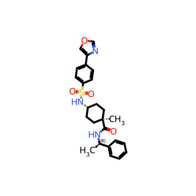 C[C@@H](NC(=O)[C@]1(C)CC[C@@H](NS(=O)(=O)c2ccc(-c3cocn3)cc2)CC1)c1ccccc1